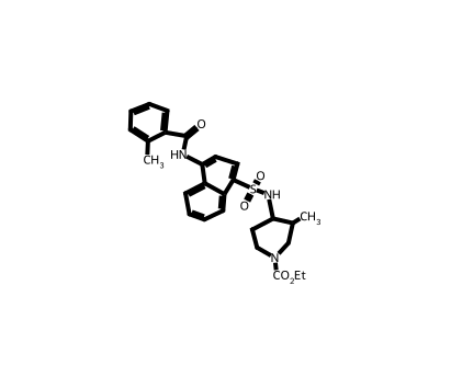 CCOC(=O)N1CCC(NS(=O)(=O)c2ccc(NC(=O)c3ccccc3C)c3ccccc23)C(C)C1